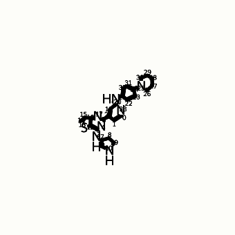 c1cc(-c2nc(NC3CCNC3)c3sccc3n2)cc(Nc2ccc(N3CCCCC3)cc2)n1